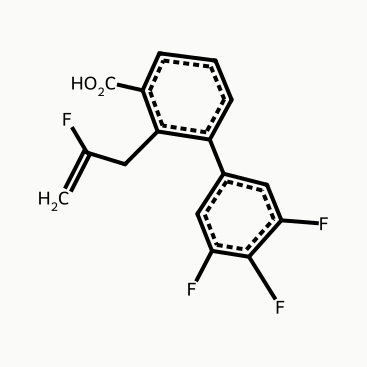 C=C(F)Cc1c(C(=O)O)cccc1-c1cc(F)c(F)c(F)c1